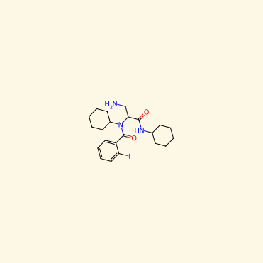 NCC(C(=O)NC1CCCCC1)N(C(=O)c1ccccc1I)C1CCCCC1